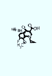 B.COc1c(F)ccc2c(=O)c(C(=O)O)cn(C3CC3)c12.F.F